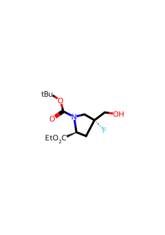 CCOC(=O)[C@@H]1C[C@](F)(CO)CN1C(=O)OC(C)(C)C